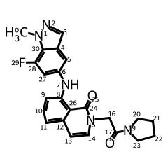 Cn1ncc2cc(Nc3cccc4ccn(CC(=O)N5CCCC5)c(=O)c34)cc(F)c21